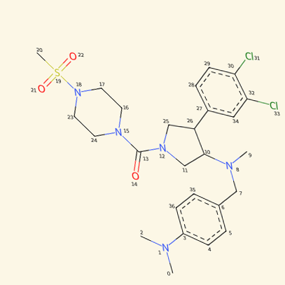 CN(C)c1ccc(CN(C)C2CN(C(=O)N3CCN(S(C)(=O)=O)CC3)CC2c2ccc(Cl)c(Cl)c2)cc1